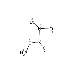 CCN(CC)C(Cl)OP